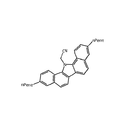 CCCCCc1ccc2c(ccc3c4ccc5cc(CCCCC)ccc5c4n(CC#N)c23)c1